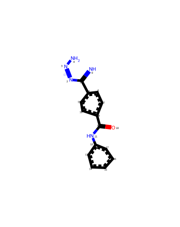 N=C(/N=N\N)c1ccc(C(=O)Nc2ccccc2)cc1